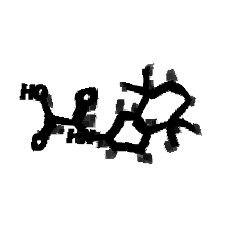 CC1(C)CCC(C)(C)c2cc(NC(=O)C(=O)O)ccc21